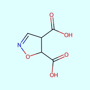 O=C(O)C1C=NOC1C(=O)O